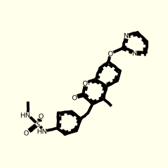 CNS(=O)(=O)Nc1ccc(Cc2c(C)c3ccc(Oc4ncccn4)cc3oc2=O)cc1